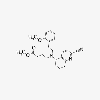 COC(=O)CCCN(CCc1ccccc1OC)C1CCCc2nc(C#N)ccc21